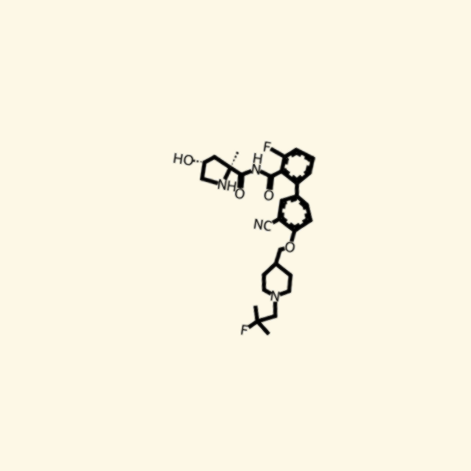 CC(C)(F)CN1CCC(COc2ccc(-c3cccc(F)c3C(=O)NC(=O)[C@]3(C)C[C@@H](O)CN3)cc2C#N)CC1